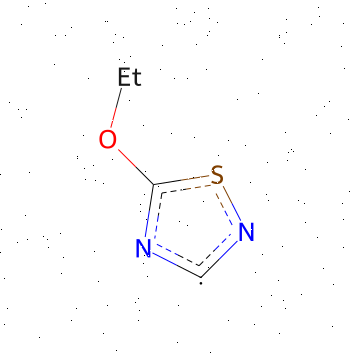 CCOc1n[c]ns1